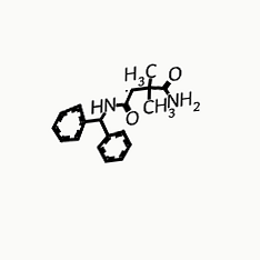 CC(C)([CH]C(=O)NC(c1ccccc1)c1ccccc1)C(N)=O